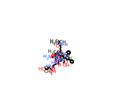 CCC(C)(CC)NC(=O)CCCC(=O)N[C@@H](C)C(O)N(C)[C@@H](C)C(=O)N[C@@H](CC(N)=O)C(=O)N[C@@H](CCN(C(=O)CO)[C@@H](c1cc(-c2cc(F)ccc2F)cn1Cc1ccccc1)C(C)(C)C)C(=O)NCCC(=O)N[C@H](CCC(C)(C)O)C(=O)O